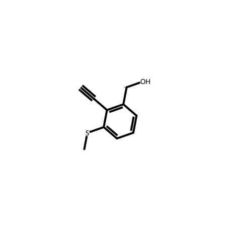 C#Cc1c([CH]O)cccc1SC